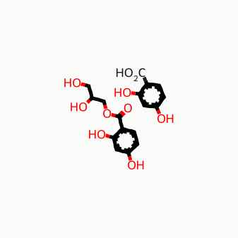 O=C(O)c1ccc(O)cc1O.O=C(OCC(O)CO)c1ccc(O)cc1O